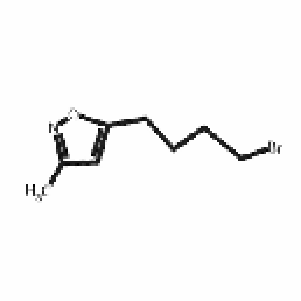 Cc1cc(CCCCBr)on1